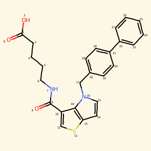 O=C(O)CCCCNC(=O)c1csc2ccn(Cc3ccc(-c4ccccc4)cc3)c12